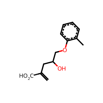 C=C(CC(O)COc1ccccc1C)C(=O)O